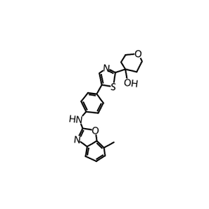 Cc1cccc2nc(Nc3ccc(-c4cnc(C5(O)CCOCC5)s4)cc3)oc12